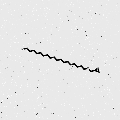 BrCCCCCCCCCCCCCCCCCCOCC1CO1